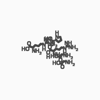 N=C(N)NCCC[C@H](N)C(=O)O.N=C(N)NCCC[C@H](N)C(=O)O.NCC(=O)O.NCC(=O)O.O=C(O)[C@@H]1CCCN1